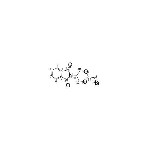 O=C1c2ccccc2C(=O)N1[C@H]1CO[C@H](CBr)OC1